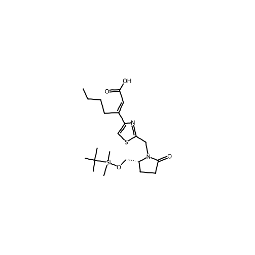 CCCC/C(=C\C(=O)O)c1csc(CN2C(=O)CC[C@@H]2CO[Si](C)(C)C(C)(C)C)n1